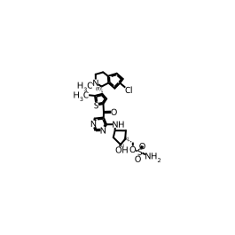 Cc1sc(C(=O)c2cncnc2NC2C[C@H](COS(N)(=O)=O)[C@@H](O)C2)cc1[C@H]1c2cc(Cl)ccc2CCN1C